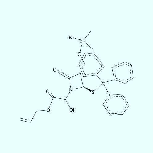 C=CCOC(=O)C(O)N1C(=O)[C@H](CO[Si](C)(C)C(C)(C)C)[C@H]1SC(c1ccccc1)(c1ccccc1)c1ccccc1